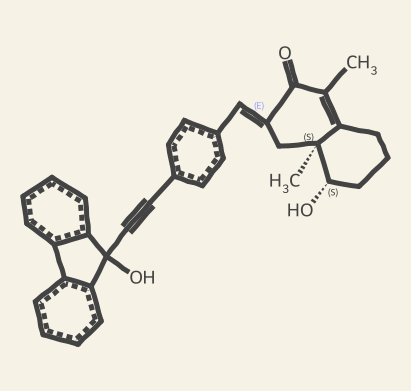 CC1=C2CCC[C@H](O)[C@@]2(C)C/C(=C\c2ccc(C#CC3(O)c4ccccc4-c4ccccc43)cc2)C1=O